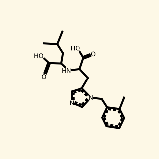 Cc1ccccc1Cn1cncc1CC(NC(CC(C)C)C(=O)O)C(=O)O